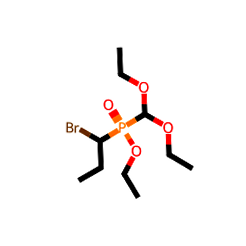 CCOC(OCC)P(=O)(OCC)C(Br)CC